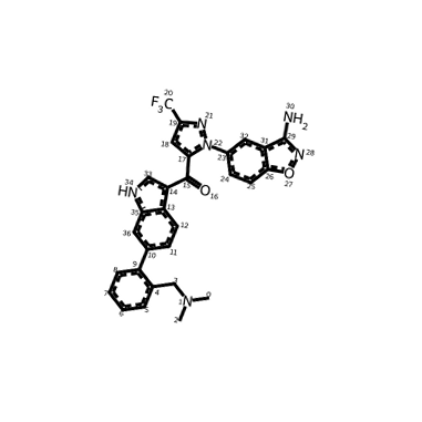 CN(C)Cc1ccccc1-c1ccc2c(C(=O)c3cc(C(F)(F)F)nn3-c3ccc4onc(N)c4c3)c[nH]c2c1